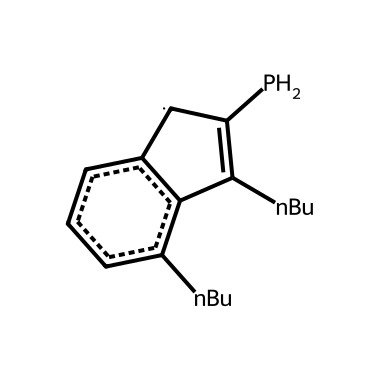 CCCCC1=C(P)[CH]c2cccc(CCCC)c21